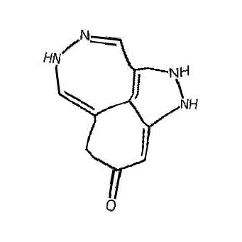 O=C1C=C2NNC3=C2C(=CNN=C3)C1